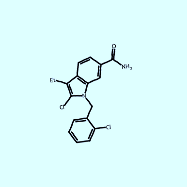 CCc1c(Cl)n(Cc2ccccc2Cl)c2cc(C(N)=O)ccc12